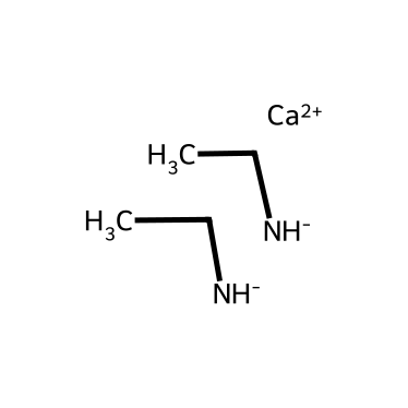 CC[NH-].CC[NH-].[Ca+2]